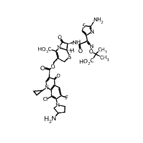 CC(C)(O/N=C(\C(=O)N[C@@H]1C(=O)N2C(C(=O)O)=C(COC(=O)c3cn(C4CC4)c4c(Cl)c(N5CCC(N)C5)c(F)cc4c3=O)CS[C@H]12)c1csc(N)n1)C(=O)O